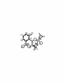 CCCC(OP(=O)(N1CC1)N1CC1)c1c(C)cccc1[N+](=O)[O-]